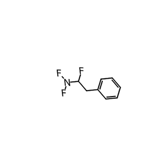 FC(Cc1ccccc1)N(F)F